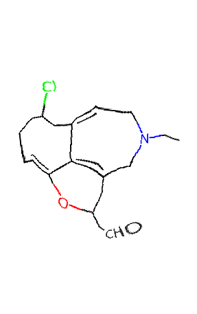 CN1CC=C2C3=C(C1)C(C=O)OC3=CCC2Cl